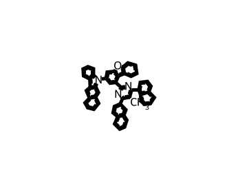 Cc1c(-c2ccc3ccccc3c2)nc(-c2cc(-n3c4ccccc4c4cc5ccccc5cc43)cc3oc4ccccc4c23)nc1-c1cccc2ccccc12